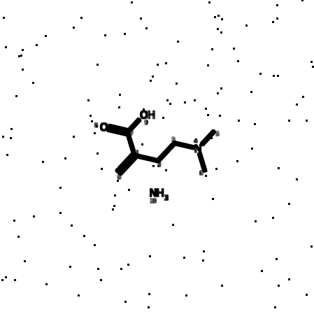 C=C(CCN(C)C)C(=O)O.N